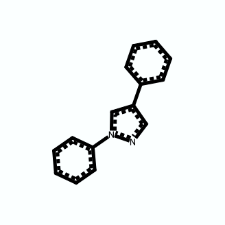 c1ccc(-c2cnn(-c3ccccc3)c2)cc1